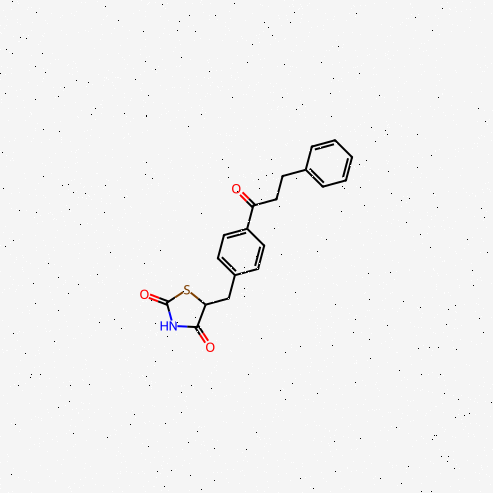 O=C1NC(=O)C(Cc2ccc(C(=O)CCc3ccccc3)cc2)S1